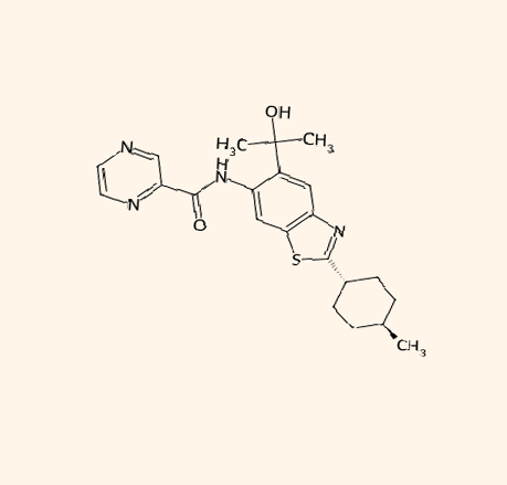 CC(C)(O)c1cc2nc([C@H]3CC[C@H](C)CC3)sc2cc1NC(=O)c1cnccn1